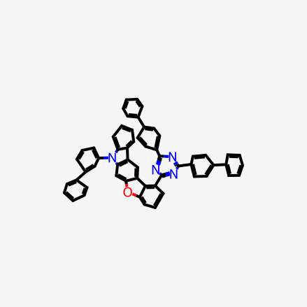 c1ccc(-c2ccc(-c3nc(-c4ccc(-c5ccccc5)cc4)nc(-c4cccc5oc6cc7c(cc6c45)c4ccccc4n7-c4cccc(-c5ccccc5)c4)n3)cc2)cc1